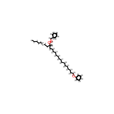 CCCCCCCCC(C)(CCCCCCCCCCCCCCCCOc1ccccc1)OOCc1ccccc1